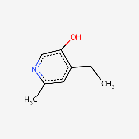 CCc1cc(C)ncc1O